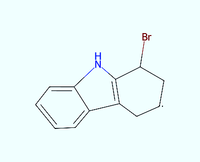 BrC1C[CH]Cc2c1[nH]c1ccccc21